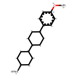 CCCCCCC1CCC(C2CCC(c3ccc(OCCC)cc3)CC2)CC1